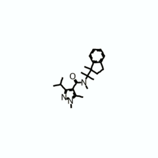 Cc1c(C(=O)N(C)C(C)(C)C2(C)CCc3ccccc32)c(C(C)C)nn1C